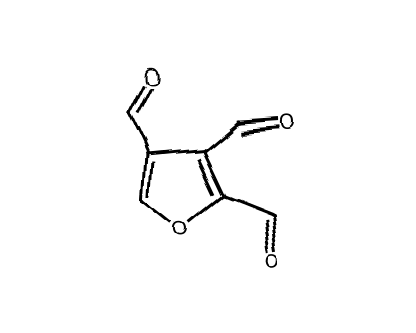 O=Cc1coc(C=O)c1C=O